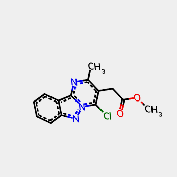 COC(=O)Cc1c(C)nc2c3ccccc3nn2c1Cl